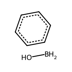 BO.c1ccccc1